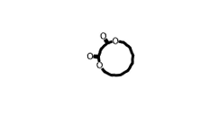 O=C1CC(=O)OCCCCCCCCO1